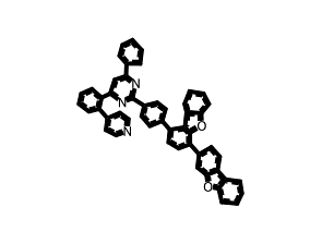 c1ccc(-c2cc(-c3ccccc3-c3ccncc3)nc(-c3ccc(-c4ccc(-c5ccc6c(c5)oc5ccccc56)c5oc6ccccc6c45)cc3)n2)cc1